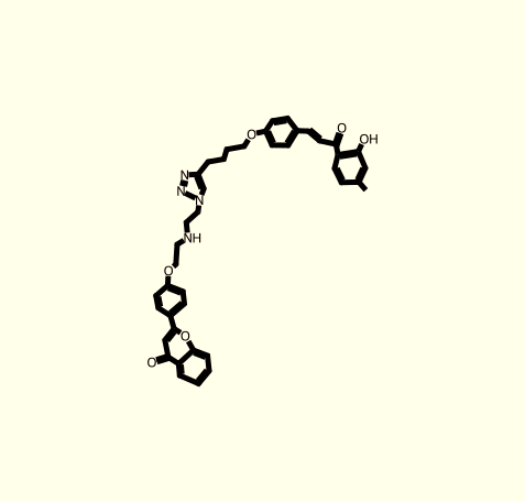 Cc1ccc(C(=O)C=Cc2ccc(OCCCCc3cn(CCNCCOc4ccc(-c5cc(=O)c6ccccc6o5)cc4)nn3)cc2)c(O)c1